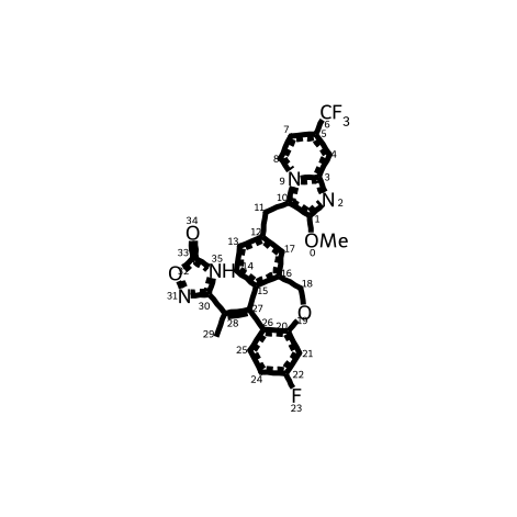 COc1nc2cc(C(F)(F)F)ccn2c1Cc1ccc2c(c1)COc1cc(F)ccc1/C2=C(\C)c1noc(=O)[nH]1